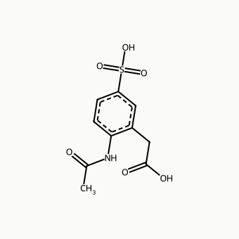 CC(=O)Nc1ccc(S(=O)(=O)O)cc1CC(=O)O